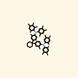 Cc1cc(C)c(N(c2ccc(C3(c4ccc(N(c5cc(C)c(C)cc5C)c5c(C)cc(C)c(C)c5C)c(C)c4)CCCCC3)cc2C)c2cc(C)c(C)cc2C)cc1C